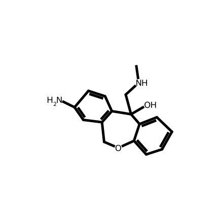 CNCC1(O)c2ccc(N)cc2COc2ccccc21